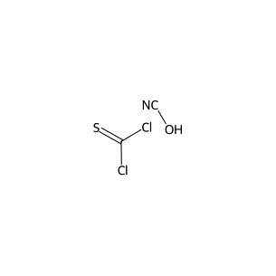 N#CO.S=C(Cl)Cl